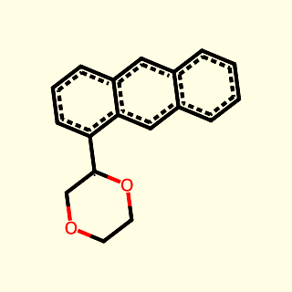 c1ccc2cc3c([C]4COCCO4)cccc3cc2c1